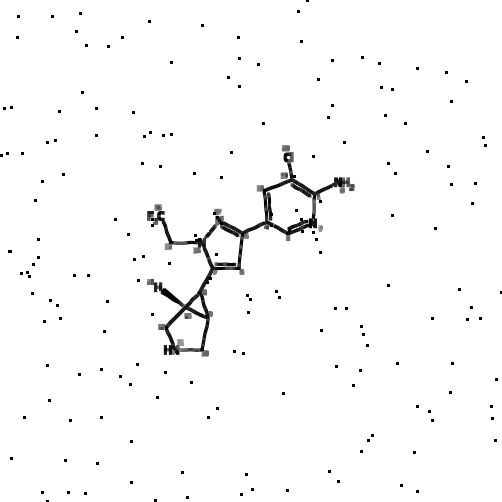 Nc1ncc(-c2cc(C3C4CNC[C@@H]43)n(CC(F)(F)F)n2)cc1Cl